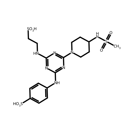 CS(=O)(=O)NC1CCN(c2nc(NCCS(=O)(=O)O)nc(Nc3ccc(S(=O)(=O)O)cc3)n2)CC1